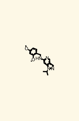 COc1ccc(CNc2cc3c(cn2)cnn3C(C)C)c(OC)c1